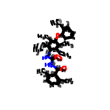 Cc1ccccc1Oc1c(C)c(C)c(NC(=O)NC(=O)c2c(C)cccc2C)c(C)c1C